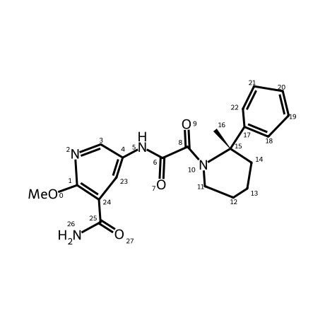 COc1ncc(NC(=O)C(=O)N2CCCC[C@@]2(C)c2ccccc2)cc1C(N)=O